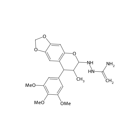 C=C(N)NNC1Oc2cc3c(cc2C(c2cc(OC)c(OC)c(OC)c2)C1C)OCO3